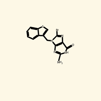 Nc1nc2c(nc(Br)n2Cc2csc3ccccc23)c(=O)[nH]1